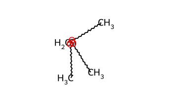 C=C[Si](OCCCCCCCCCCCCCCCCCC)(OCCCCCCCCCCCCCCCCCC)OCCCCCCCCCCCCCCCCCC